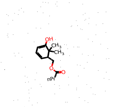 CCCC(=O)OCC1C=CC=C(O)C1(C)C